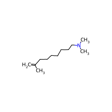 C=C(C)CCCCCCCN(C)C